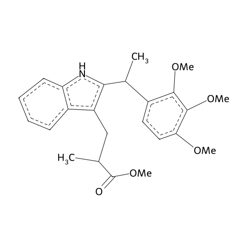 COC(=O)C(C)Cc1c(C(C)c2ccc(OC)c(OC)c2OC)[nH]c2ccccc12